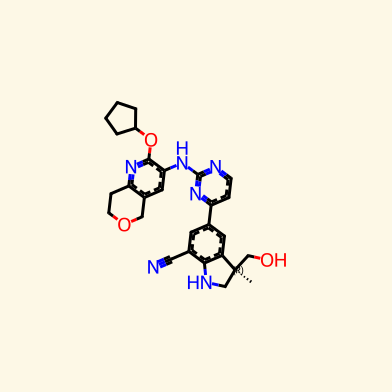 C[C@]1(CO)CNc2c(C#N)cc(-c3ccnc(Nc4cc5c(nc4OC4CCCC4)CCOC5)n3)cc21